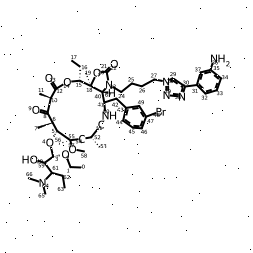 CCO[C@@H](O[C@@H]1[C@@H](C)C(=O)[C@@H](C)C(=O)O[C@H](CC)[C@@]2(C)OC(=O)N(CCCCn3cc(-c4cccc(N)c4)nn3)[C@@H]2C(Cc2cccc(Br)c2)NC[C@H](C)C[C@@]1(C)OC)C(O)C(CC)N(C)C